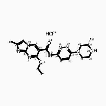 CCOc1nc2nc(C)cn2cc1C(=O)Nc1ccc(N2CCN[C@@H](C)C2)nn1.Cl